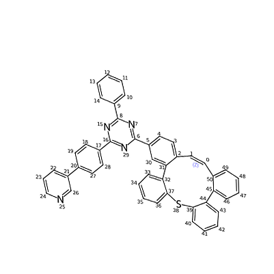 C1=C\c2ccc(-c3nc(-c4ccccc4)nc(-c4ccc(-c5cccnc5)cc4)n3)cc2-c2ccccc2Sc2ccccc2-c2ccccc2/1